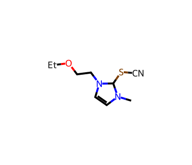 CCOCCN1C=CN(C)C1SC#N